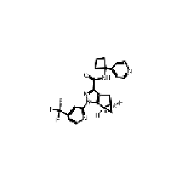 O=C(NC1(c2ccncc2)CCC1)c1nn(-c2cc(C(F)(F)F)ccn2)c2c1C[C@H]1C[C@@H]21